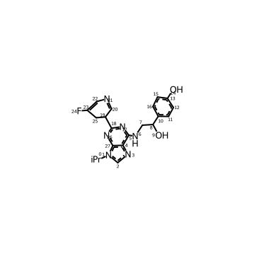 CC(C)n1cnc2c(NCC(O)c3ccc(O)cc3)nc(C3C=NC=C(F)C3)nc21